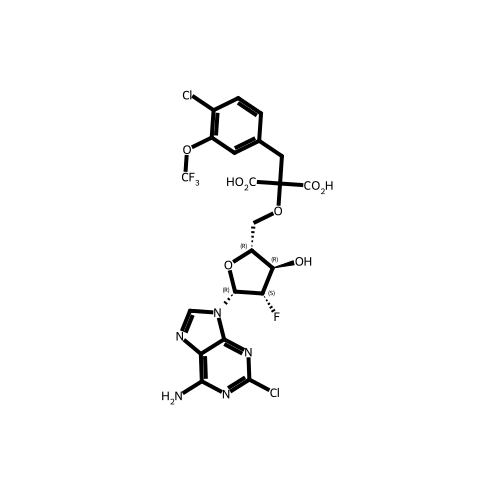 Nc1nc(Cl)nc2c1ncn2[C@@H]1O[C@H](COC(Cc2ccc(Cl)c(OC(F)(F)F)c2)(C(=O)O)C(=O)O)[C@@H](O)[C@@H]1F